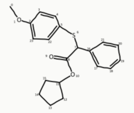 COc1ccc(SC(C(=O)OC2CCCC2)c2ccccc2)cc1